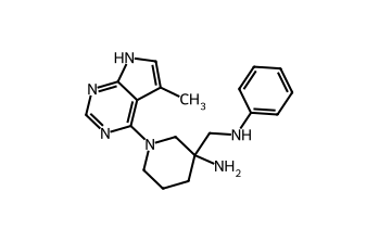 Cc1c[nH]c2ncnc(N3CCCC(N)(CNc4ccccc4)C3)c12